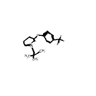 CC(C)(C)N1CCCC(Oc2ccc(C(F)(F)F)cc2)C1